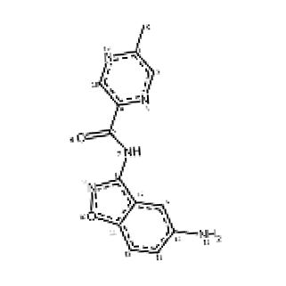 Cc1cnc(C(=O)Nc2noc3ccc(N)cc23)cn1